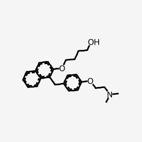 CN(C)CCOc1ccc(Cc2c(OCCCCO)ccc3ccccc23)cc1